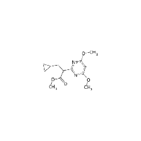 COC(=O)C(CC1CC1)c1nc(OC)cc(OC)n1